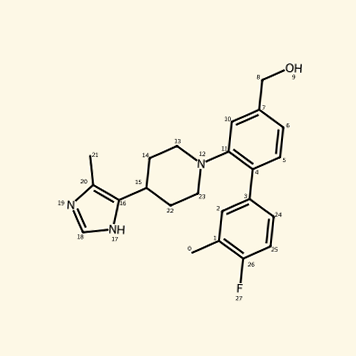 Cc1cc(-c2ccc(CO)cc2N2CCC(c3[nH]cnc3C)CC2)ccc1F